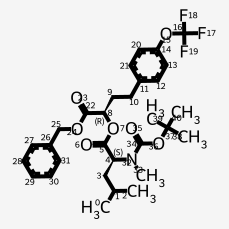 CC(C)C[C@@H](C(=O)O[C@H](CCc1ccc(OC(F)(F)F)cc1)C(=O)OCc1ccccc1)N(C)C(=O)OC(C)(C)C